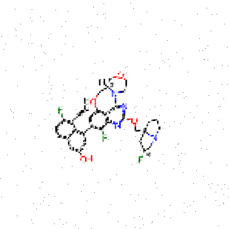 C#Cc1c(F)ccc2cc(O)cc(-c3cc4c5c(nc(OC[C@@]67CCCN6C[C@H](F)C7)nc5c3F)N3CCOC[C@H]3CO4)c12